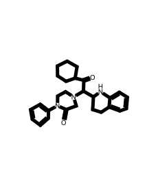 O=C(C1CCCCC1)C(C1CCc2ccccc2N1)N1CCN(c2ccccc2)C(=O)C1